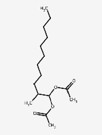 CCCCCCCCCC(C)C(OC(C)=O)OC(C)=O